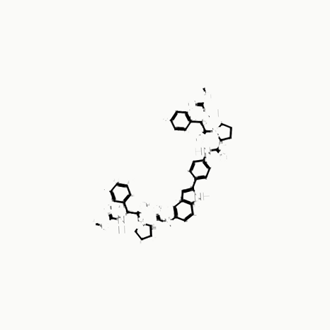 COC(=O)N[C@@H](C(=O)N1CCC[C@H]1C(=O)Nc1ccc(-c2cc3cc(NC(=O)[C@@H]4CCCN4C(=O)[C@H](NC(=O)OC)c4ccccc4)ccc3[nH]2)cc1)c1ccccc1